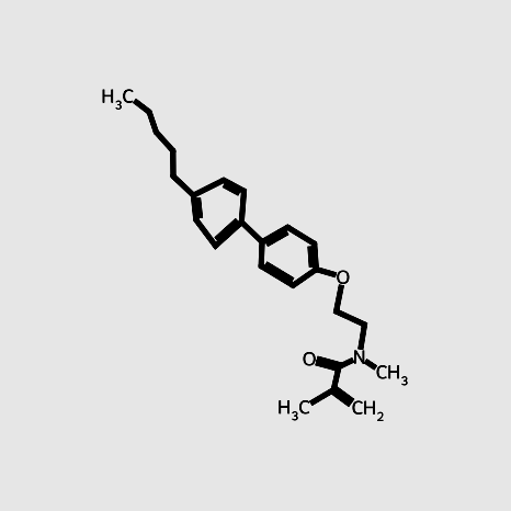 C=C(C)C(=O)N(C)CCOc1ccc(-c2ccc(CCCCC)cc2)cc1